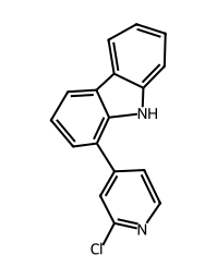 Clc1cc(-c2cccc3c2[nH]c2ccccc23)ccn1